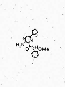 COc1ccccc1NC(=O)c1nc(-c2cccs2)cnc1N